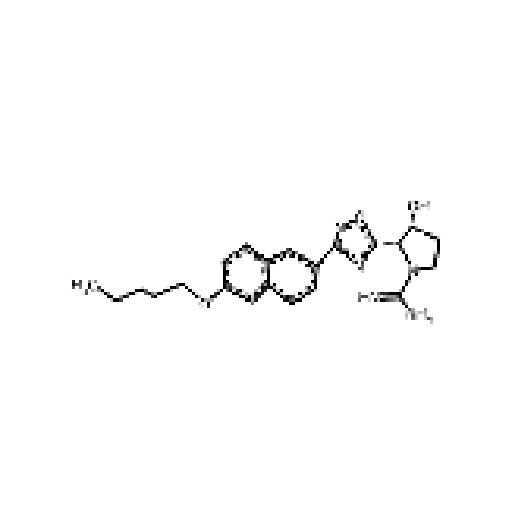 CCCCCOc1ccc2cc(-c3noc([C@@H]4[C@@H](O)CCN4C(=N)N)n3)ccc2c1